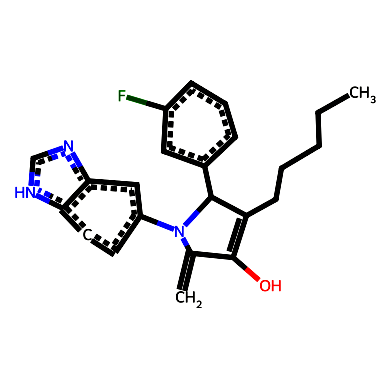 C=C1C(O)=C(CCCCC)C(c2cccc(F)c2)N1c1ccc2[nH]cnc2c1